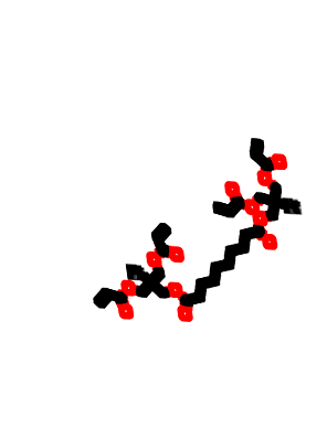 C=CC(=O)OCC(CC)(COC(=O)C=C)COC(=O)CCCCCCCCC(=O)OCC(CC)(COC(=O)C=C)COC(=O)C=C